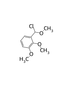 COc1cccc(C(Cl)OC)c1OC